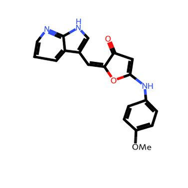 COc1ccc(NC2=CC(=O)/C(=C\c3c[nH]c4ncccc34)O2)cc1